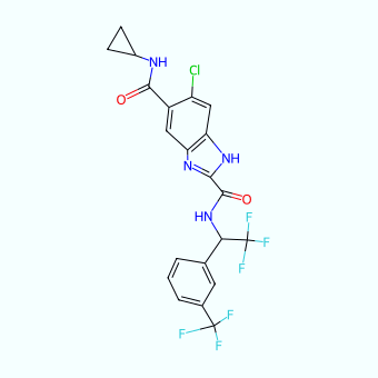 O=C(NC(c1cccc(C(F)(F)F)c1)C(F)(F)F)c1nc2cc(C(=O)NC3CC3)c(Cl)cc2[nH]1